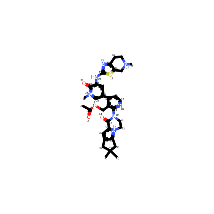 CC(=O)OCc1c(-c2cc(Nc3nc4c(s3)CN(C)CC4)c(=O)n(C)c2)ccnc1N1CCn2c(cc3c2CC(C)(C)C3)C1=O